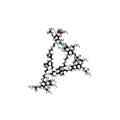 CC(=O)N[C@@H]1[C@H](OCCOCCn2cc(CN(CCCC[C@@H](C(=O)O)N(Cc3cn(CCOCCO[C@@H]4O[C@H](COC(C)=O)[C@H](OC(C)=O)[C@H](OC(C)=O)[C@@H]4NC(C)=O)nn3)Cc3cn(CCOCCO[C@@H]4O[C@H](COC(C)=O)[C@H](OC(C)=O)[C@H](OC(C)=O)[C@@H]4NC(C)=O)nn3)Cc3cn(CCOCCO[C@@H]4O[C@H](COC(C)=O)[C@H](OC(C)=O)[C@H](OC(C)=O)[C@@H]4NC(C)=O)nn3)nn2)O[C@H](COC(C)=O)[C@H](OC(C)=O)[C@@H]1OC(C)=O